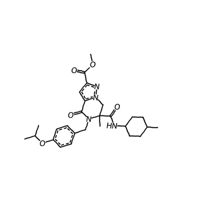 COC(=O)c1cc2n(n1)CC(C)(C(=O)NC1CCC(C)CC1)N(Cc1ccc(OC(C)C)cc1)C2=O